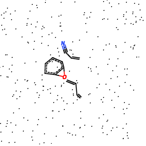 C=CC#N.C=CC=C.c1ccc2c(c1)O2